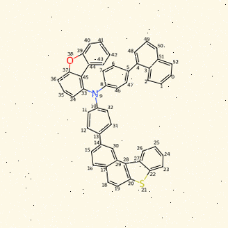 c1ccc2c(-c3ccc(N(c4ccc(-c5ccc6ccc7sc8ccccc8c7c6c5)cc4)c4cccc5oc6ccccc6c45)cc3)cccc2c1